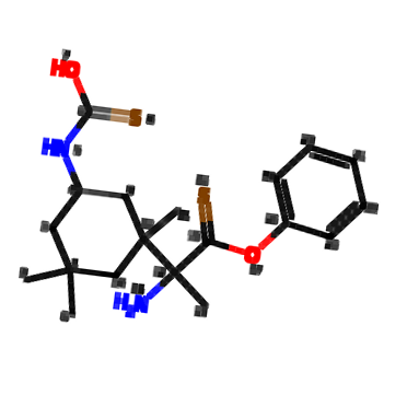 CC1(C)CC(NC(O)=S)CC(C)(C(C)(N)C(=S)Oc2ccccc2)C1